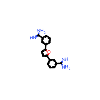 N=C(N)c1cccc(-c2ccc(-c3cccc(C(=N)N)c3)o2)c1